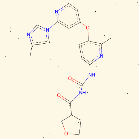 Cc1cn(-c2cc(Oc3ccc(NC(=O)NC(=O)C4CCOC4)nc3C)ccn2)cn1